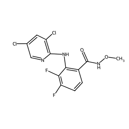 CONC(=O)c1ccc(F)c(F)c1Nc1ncc(Cl)cc1Cl